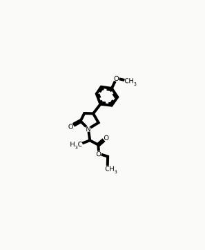 CCOC(=O)C(C)N1CC(c2ccc(OC)cc2)CC1=O